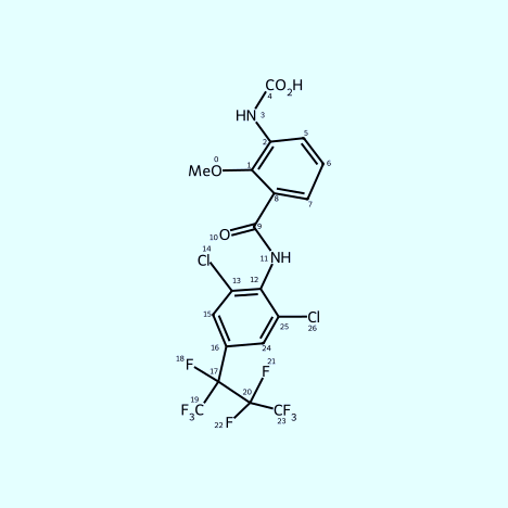 COc1c(NC(=O)O)cccc1C(=O)Nc1c(Cl)cc(C(F)(C(F)(F)F)C(F)(F)C(F)(F)F)cc1Cl